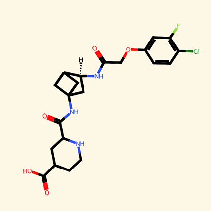 O=C(COc1ccc(Cl)c(F)c1)N[C@H]1CC2(NC(=O)C3CC(C(=O)O)CCN3)CC1C2